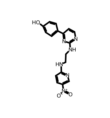 O=[N+]([O-])c1ccc(NCCNc2nccc(-c3ccc(O)cc3)n2)nc1